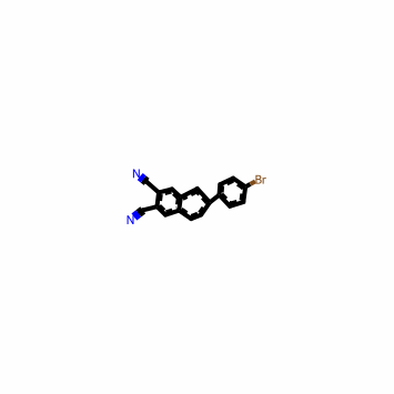 N#Cc1cc2ccc(-c3ccc(Br)cc3)cc2cc1C#N